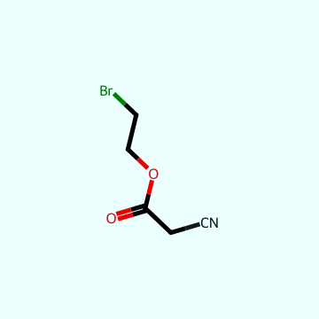 N#CCC(=O)OCCBr